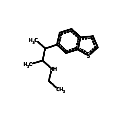 CCNC(C)C(C)c1ccc2ccsc2c1